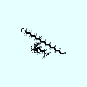 CCCCCCCCCCCCCCCCCl.CO[Si](CCCN(C)C)(OC)OC